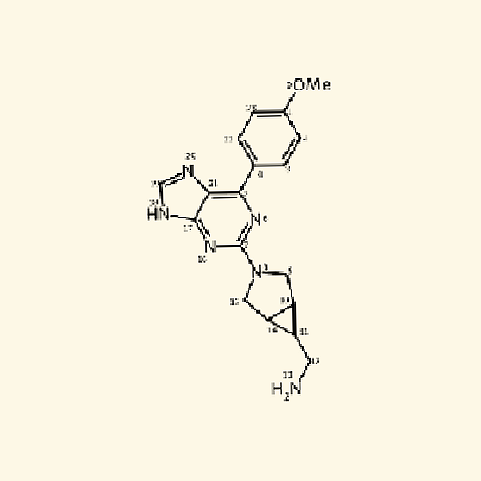 COc1ccc(-c2nc(N3CC4C(CN)C4C3)nc3[nH]cnc23)cc1